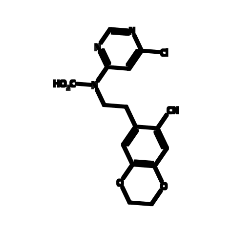 N#Cc1cc2c(cc1CCN(C(=O)O)c1cc(Cl)ncn1)OCCO2